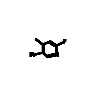 Cc1cc(F)ncc1C(C)C